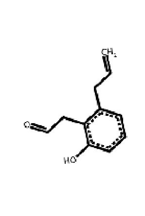 C=CCc1cccc(O)c1CC=O